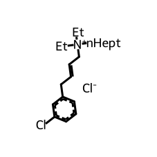 CCCCCCC[N+](CC)(CC)CC=CCc1cccc(Cl)c1.[Cl-]